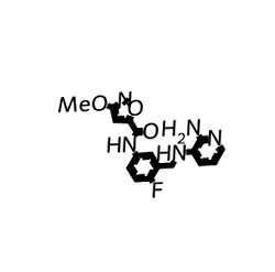 COc1cc(C(=O)Nc2ccc(F)c(CNc3cccnc3N)c2)on1